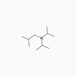 CC(C)[CH2][Al]([CH](C)C)[CH](C)C